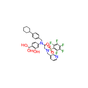 O=C(CN(Cc1cccnc1)S(=O)(=O)c1c(F)c(F)c(F)c(F)c1F)N(Cc1ccc(C2CCCCC2)cc1)c1ccc(C(O)O)c(O)c1